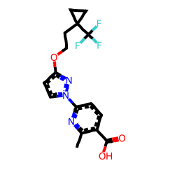 Cc1nc(-n2ccc(OCCC3(C(F)(F)F)CC3)n2)ccc1C(=O)O